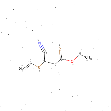 C=CSC(C#N)CC(=S)OCC